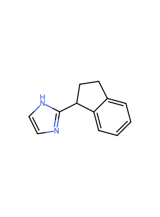 c1ccc2c(c1)CCC2c1ncc[nH]1